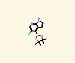 CC1(C)OB(c2c(F)cnc3[nH]ccc23)OC1(C)C